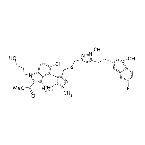 COC(=O)c1c(C)c2c(-c3c(CSCc4cc(CCc5cc(O)c6ccc(F)cc6c5)n(C)n4)nn(C)c3C)c(Cl)ccc2n1CCCO